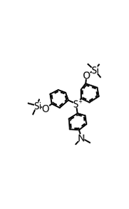 CN(C)c1ccc([S+](c2cccc(O[Si](C)(C)C)c2)c2cccc(O[Si](C)(C)C)c2)cc1